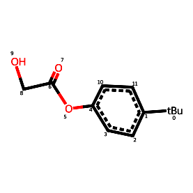 CC(C)(C)c1ccc(OC(=O)CO)cc1